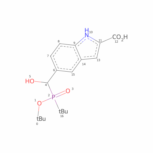 CC(C)(C)OP(=O)(C(O)c1ccc2[nH]c(C(=O)O)cc2c1)C(C)(C)C